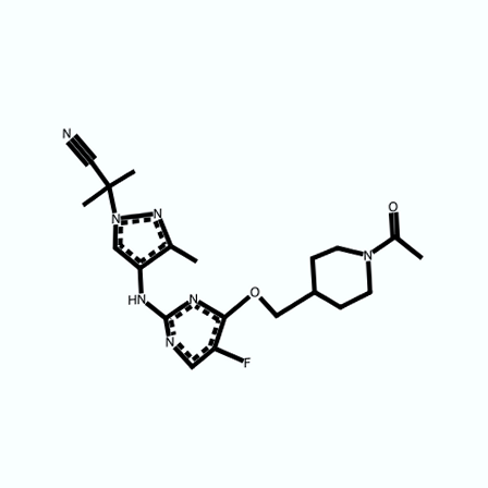 CC(=O)N1CCC(COc2nc(Nc3cn(C(C)(C)C#N)nc3C)ncc2F)CC1